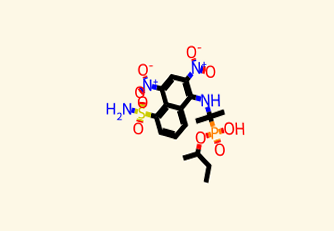 CCC(C)OP(=O)(O)C(C)(C)Nc1c([N+](=O)[O-])cc([N+](=O)[O-])c2c(S(N)(=O)=O)cccc12